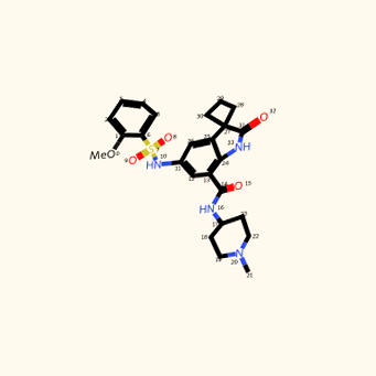 COc1ccccc1S(=O)(=O)Nc1cc(C(=O)NC2CCN(C)CC2)c2c(c1)C1(CCC1)C(=O)N2